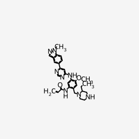 C=CC(=O)Nc1cc(Nc2cc(-c3ccc4c(cnn4C)c3)ncn2)c(OC)cc1CN1CCNCC1CC